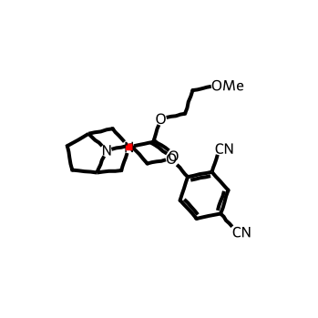 COCCOC(=O)N1CC2CCC(C1)N2CCOc1ccc(C#N)cc1C#N